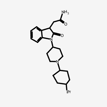 CC(C)C1CCC(N2CCC(N3C(=O)C(CC(N)=O)c4ccccc43)CC2)CC1